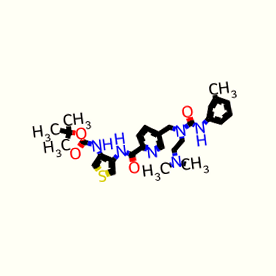 Cc1cccc(NC(=O)N(CCN(C)C)Cc2ccc(C(=O)Nc3cscc3NC(=O)OC(C)(C)C)nc2)c1